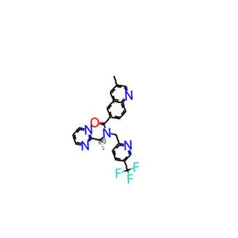 Cc1cnc2ccc(C(=O)N(Cc3ccc(C(F)(F)F)cn3)[C@H](C)c3ncccn3)cc2c1